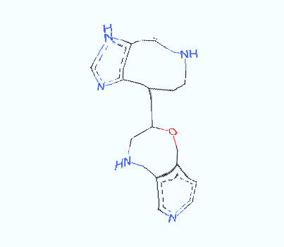 [C]1NCC(C2CNc3cnccc3O2)c2nc[nH]c21